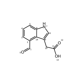 O=Cc1cccc2[nH]cc(CC(=O)O)c12